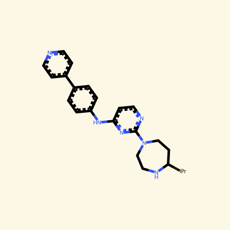 CC(C)C1CCN(c2nccc(Nc3ccc(-c4ccncc4)cc3)n2)CCN1